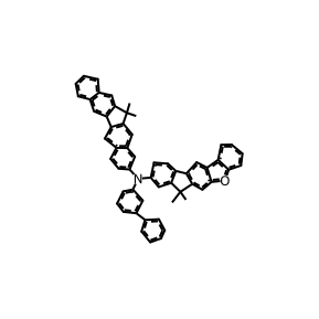 CC1(C)c2cc3ccccc3cc2-c2cc3ccc(N(c4cccc(-c5ccccc5)c4)c4ccc5c(c4)C(C)(C)c4cc6oc7ccccc7c6cc4-5)cc3cc21